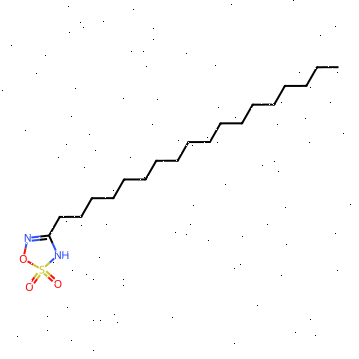 CCCCCCCCCCCCCCCCCCC1=NOS(=O)(=O)N1